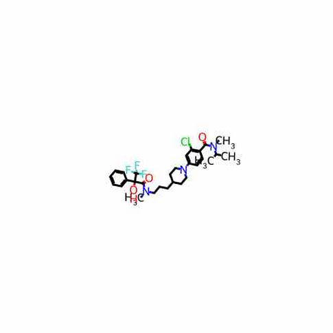 CC(C)N(C)C(=O)c1ccc(N2CCC(CCCN(C)C(=O)C(O)(c3ccccc3)C(F)(F)F)CC2)cc1Cl